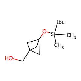 CC(C)(C)[Si](C)(C)OC12CC(CO)(C1)C2